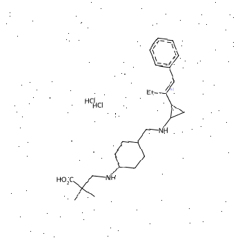 CC/C(=C\c1ccccc1)C1CC1NCC1CCC(NCC(C)(C)C(=O)O)CC1.Cl.Cl